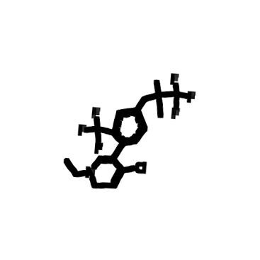 CCN1C=C(c2ccc(CC(C)(C)C(F)(F)F)cc2C(F)(F)F)C(Cl)=CC1